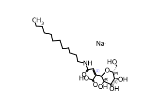 CCCCCCCCCCCCNC(=O)/C=C(\C(=O)O)C1O[C@H](CO)[C@@H](O)[C@H](O)[C@H]1O.[Na]